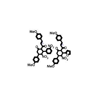 COc1ccc(/C=C/C(=O)C2C(=O)CC(c3ccc(OC)cc3)C([N+](=O)[O-])C2c2cccc([N+](=O)[O-])c2)cc1.COc1ccc(/C=C/C(=O)C2C(=O)CC(c3ccc(OC)cc3)C([N+](=O)[O-])C2c2ccco2)cc1